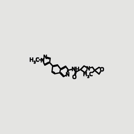 Cn1cc(-c2ccc3cnc(NC(=O)C4CN(CC5(C)COC5)C4)cc3c2)cn1